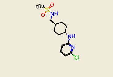 CC(C)(C)S(=O)(=O)NC[C@H]1CC[C@H](Nc2cccc(Cl)n2)CC1